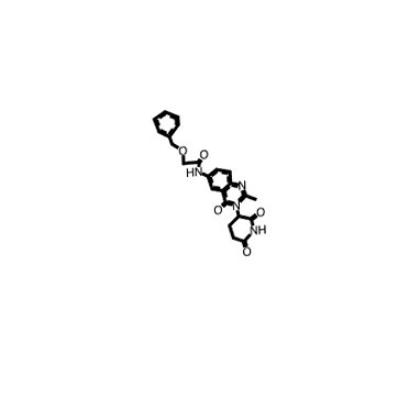 Cc1nc2ccc(NC(=O)COCc3ccccc3)cc2c(=O)n1C1CCC(=O)NC1=O